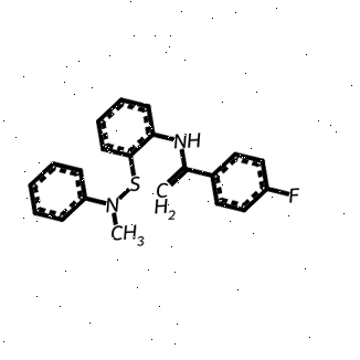 C=C(Nc1ccccc1SN(C)c1ccccc1)c1ccc(F)cc1